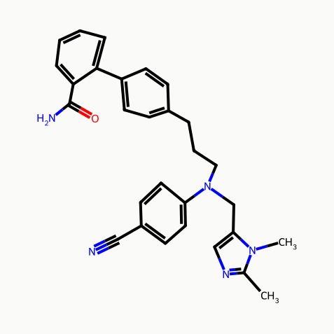 Cc1ncc(CN(CCCc2ccc(-c3ccccc3C(N)=O)cc2)c2ccc(C#N)cc2)n1C